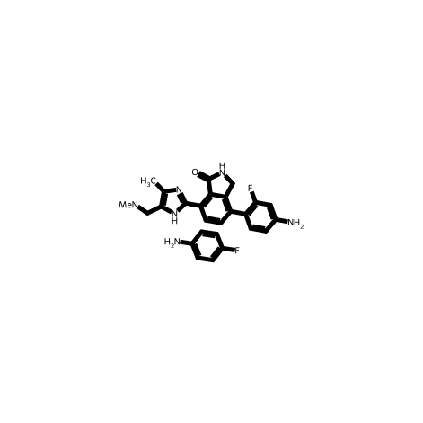 CNCc1[nH]c(-c2ccc(-c3ccc(N)cc3F)c3c2C(=O)NC3)nc1C.Nc1ccc(F)cc1